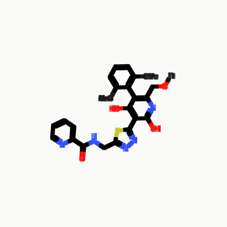 CCOCc1nc(O)c(-c2nnc(CNC(=O)c3ccccn3)s2)c(O)c1-c1c(OC)cccc1OC